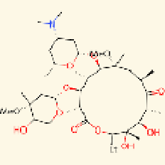 CC[C@H]1OC(=O)[C@H](C)[C@@H](O[C@H]2C[C@@](C)(OC)C(O)CO2)[C@H](C)[C@@H](O[C@H]2C[C@@H](N(C)C)C[C@@H](C)O2)[C@](C)(OC)C[C@@H](C)C(=O)[C@H](C)[C@@H](O)[C@]1(C)O